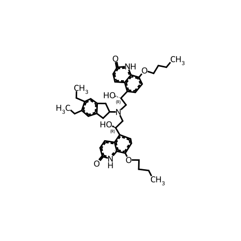 CCCCOc1ccc([C@@H](O)CN(C[C@H](O)c2ccc(OCCCC)c3[nH]c(=O)ccc23)C2Cc3cc(CC)c(CC)cc3C2)c2ccc(=O)[nH]c12